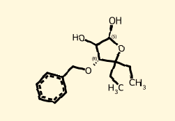 CCC1(CC)O[C@H](O)C(O)[C@H]1OCc1ccccc1